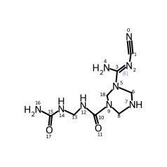 N#C/N=C(\N)N1CNCN(C(=O)NCNC(N)=O)C1